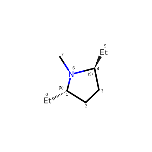 CC[C@H]1CC[C@H](CC)N1C